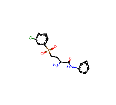 NC(CCS(=O)(=O)c1cccc(Cl)c1)C(=O)Nc1ccccc1